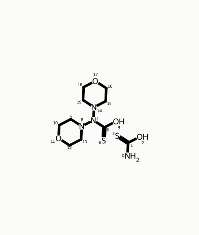 NC(O)=S.OC(=S)N(N1CCOCC1)N1CCOCC1